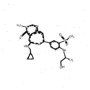 C[C@@H](CO)Nc1ccc(-c2cc3ncn(C)c(=O)c3c(NC3CC3)n2)cc1S(C)(=O)=O